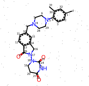 Cc1ccc(N2CCN(Cc3ccc4c(c3)CN(N3CCC(=O)NC3=O)C4=O)CC2)c(C)c1